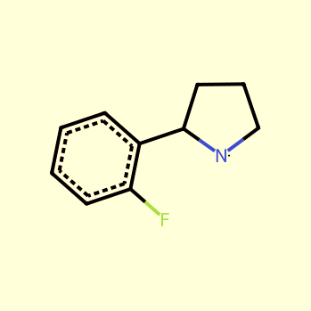 Fc1ccccc1C1CCC[N]1